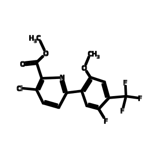 COC(=O)c1nc(-c2cc(F)c(C(F)(F)F)cc2OC)ccc1Cl